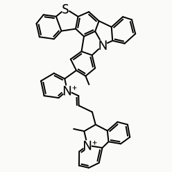 Cc1cc2c(cc1-c1cccc[n+]1/C=C/CC1c3ccccc3-c3cccc[n+]3C1C)c1c3c(cc4c5ccccc5n2c41)sc1ccccc13